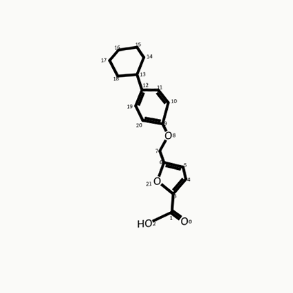 O=C(O)c1ccc(COc2ccc(C3CCCCC3)cc2)o1